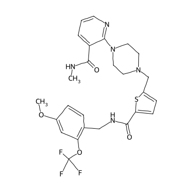 CNC(=O)c1cccnc1N1CCN(Cc2ccc(C(=O)NCc3ccc(OC)cc3OC(F)(F)F)s2)CC1